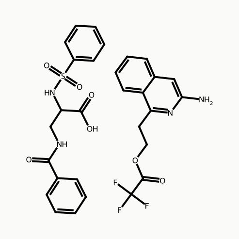 Nc1cc2ccccc2c(CCOC(=O)C(F)(F)F)n1.O=C(NCC(NS(=O)(=O)c1ccccc1)C(=O)O)c1ccccc1